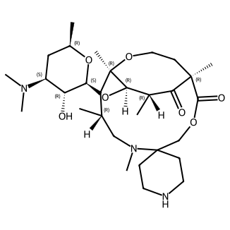 C[C@H]1CN(C)C2(CCNCC2)COC(=O)[C@]2(C)CCO[C@](C)(C1)[C@H](O[C@@H]1O[C@H](C)C[C@H](N(C)C)[C@H]1O)[C@@H](C)C2=O